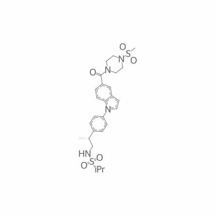 CC(C)S(=O)(=O)NC[C@H](C)c1ccc(-n2ccc3cc(C(=O)N4CCN(S(C)(=O)=O)CC4)ccc32)cc1